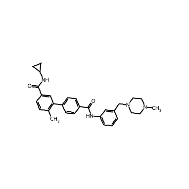 Cc1ccc(C(=O)NC2CC2)cc1-c1ccc(C(=O)Nc2cccc(CN3CCN(C)CC3)c2)cc1